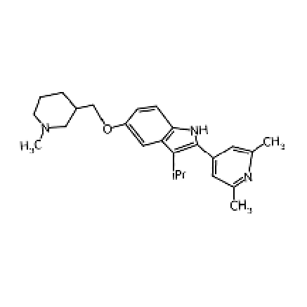 Cc1cc(-c2[nH]c3ccc(OCC4CCCN(C)C4)cc3c2C(C)C)cc(C)n1